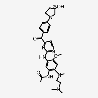 COc1cc(N(C)CCN(C)C)c(NC(C)=O)cc1Nc1nccc(C(=O)c2ccc(N3CC[C@@H](O)C3)cc2)n1